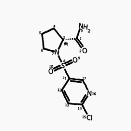 NC(=O)[C@H]1CCCN1S(=O)(=O)c1ccc(Cl)nc1